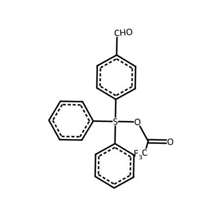 O=Cc1ccc(S(OC(=O)C(F)(F)F)(c2ccccc2)c2ccccc2)cc1